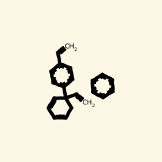 C=Cc1ccc(C2(C=C)C=CC=CC2)cc1.c1ccccc1